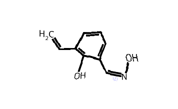 C=Cc1cccc(/C=N\O)c1O